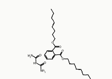 CCCCCCCCOC(=O)c1ccccc1C(=O)OCCCCCCCC.NC(=O)NC(N)=O